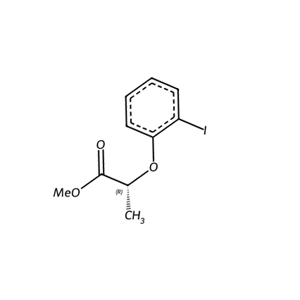 COC(=O)[C@@H](C)Oc1ccccc1I